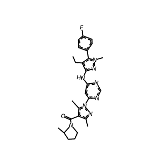 CCc1c(Nc2cc(-n3nc(C)c(C(=O)N4CCCC4C)c3C)ncn2)nn(C)c1-c1ccc(F)cc1